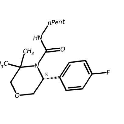 CCCCCNC(=O)N1[C@H](c2ccc(F)cc2)COCC1(C)C